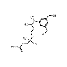 COC(=O)CCC(C)(C)OCCC(C)N(C)c1cc(CO)cc(CO)c1